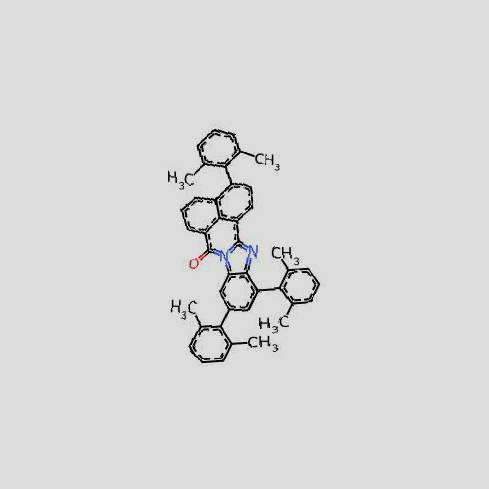 Cc1cccc(C)c1-c1cc(-c2c(C)cccc2C)c2nc3c4ccc(-c5c(C)cccc5C)c5cccc(c(=O)n3c2c1)c54